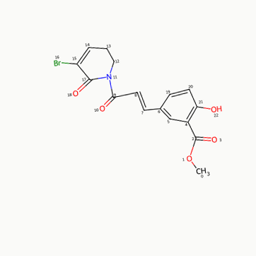 COC(=O)c1cc(/C=C/C(=O)N2CCC=C(Br)C2=O)ccc1O